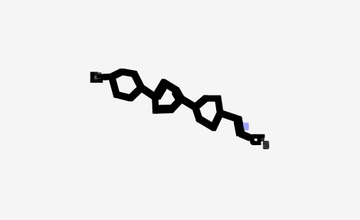 CCC1CCC(c2ccc(C3CCC(/C=C/C(F)(F)F)CC3)cc2)CC1